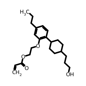 C=CC(=O)OCCOc1cc(CCC)ccc1C1CCC(CCCO)CC1